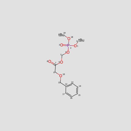 CC(C)(C)OP(=O)(OCOC(=O)COCc1ccccc1)OC(C)(C)C